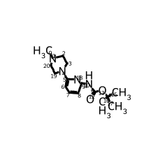 CN1CCN(c2cccc(NC(=O)OC(C)(C)C)n2)CC1